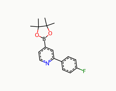 CC1(C)OB(c2ccnc(-c3ccc(F)cc3)c2)OC1(C)C